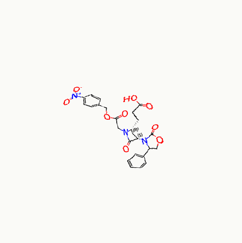 O=C(O)CC[C@@H]1[C@H](N2C(=O)OCC2c2ccccc2)C(=O)N1CC(=O)OCc1ccc([N+](=O)[O-])cc1